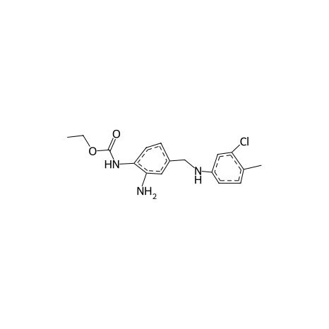 CCOC(=O)Nc1ccc(CNc2ccc(C)c(Cl)c2)cc1N